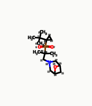 CC(C)(C)C1(S(=O)(=O)C(C)(C)CN2CC3CC(C2)O3)CC1